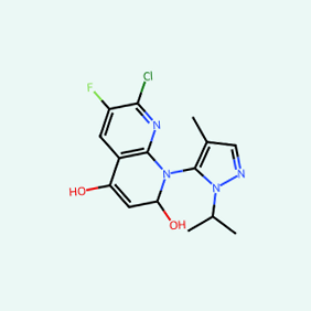 Cc1cnn(C(C)C)c1N1c2nc(Cl)c(F)cc2C(O)=CC1O